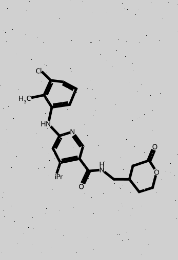 Cc1c(Cl)cccc1Nc1cc(C(C)C)c(C(=O)NCC2CCOC(=O)C2)cn1